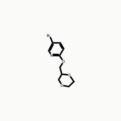 Brc1ccc(OCC2COCCO2)nc1